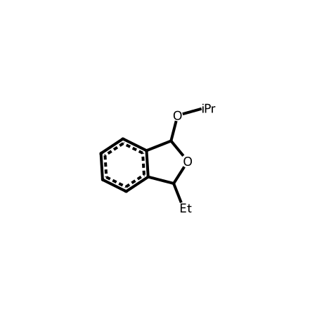 CCC1OC(OC(C)C)c2ccccc21